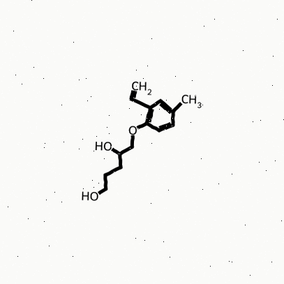 C=Cc1cc(C)ccc1OCC(O)CCCO